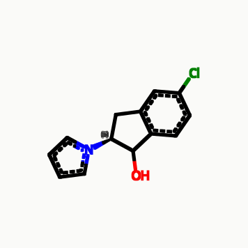 OC1c2ccc(Cl)cc2C[C@@H]1n1cccc1